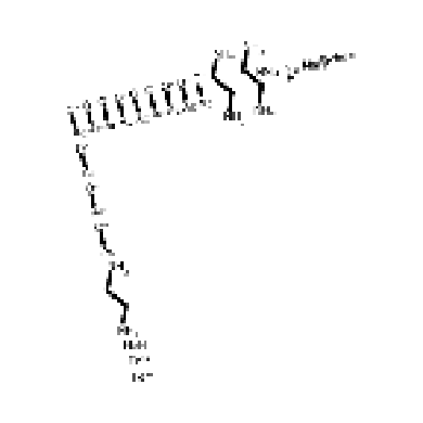 CC(=O)[O-].CC(=O)[O-].CC(=O)[O-].CC(=O)[O-].CC(=O)[O-].CC(=O)[O-].CC(=O)[O-].CC(=O)[O-].CC(=O)[O-].CC(=O)[O-].CC(=O)[O-].CC(=O)[O-].NCCN.NCCN.NCCN.[Fe+3].[Fe+3].[Fe+3].[Fe+3].[NaH].[NaH].[NaH].[NaH]